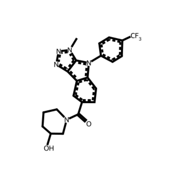 Cn1nnc2c3cc(C(=O)N4CCCC(O)C4)ccc3n(-c3ccc(C(F)(F)F)cc3)c21